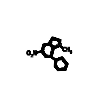 Cn1ccc2cc([N+](=O)[O-])cc(-c3ccccc3)c21